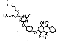 CCCCN(CCCC)c1nc(Cl)nc(Oc2ccc(OC3=C(N)C4C(=O)c5ccccc5C(=O)C4C(O)C3)cc2)n1